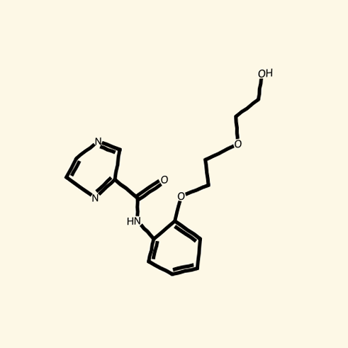 O=C(Nc1ccccc1OCCOCCO)c1cnccn1